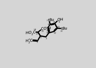 C=CC(Cc1cc(C(C)(C)C)c(O)c(C(C)(C)C)c1)C(C(=O)O)C(=O)O